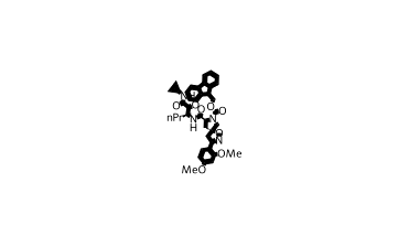 CCC[C@H](NC(=O)[C@@H]1C[C@]2(CC(c3ccc(OC)cc3OC)=NO2)CN1C(=O)OCC1c2ccccc2-c2ccccc21)C(=O)C(=O)NC1CC1